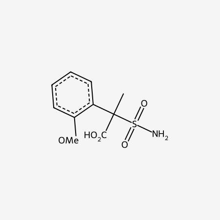 COc1ccccc1C(C)(C(=O)O)S(N)(=O)=O